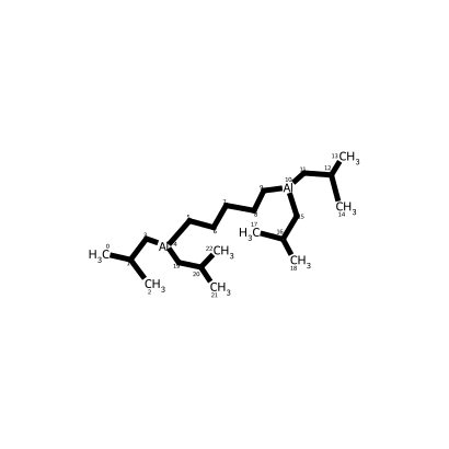 CC(C)[CH2][Al]([CH2]CCC[CH2][Al]([CH2]C(C)C)[CH2]C(C)C)[CH2]C(C)C